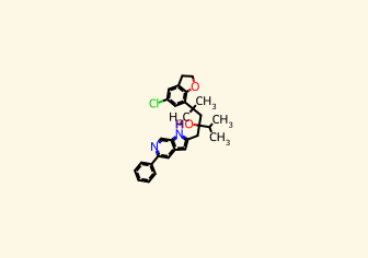 CC(C)C(O)(Cc1cc2cc(-c3ccccc3)ncc2[nH]1)CC(C)(C)c1cc(Cl)cc2c1OCC2